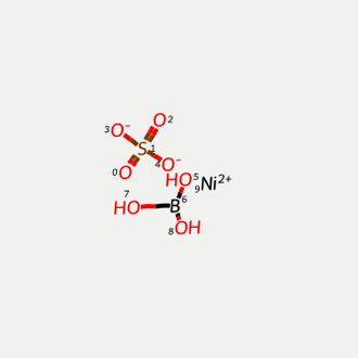 O=S(=O)([O-])[O-].OB(O)O.[Ni+2]